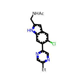 CCc1cnc(-c2cc3[nH]c(CNC(C)=O)cc3cc2Cl)cn1